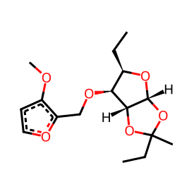 CC[C@H]1O[C@@H]2OC(C)(CC)O[C@@H]2[C@H]1OCc1occc1OC